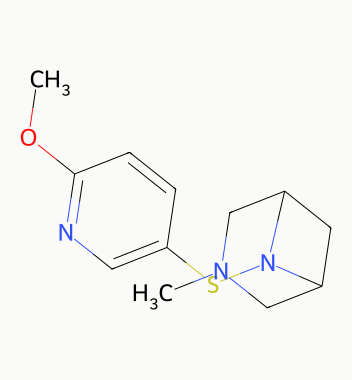 COc1ccc(SN2C3CC2CN(C)C3)cn1